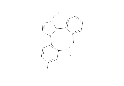 Cc1ccc2c(c1)N(C)Cc1ccccc1C1C2N=NN1C